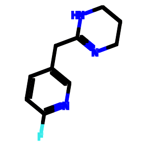 Fc1ccc(CC2=NCCCN2)cn1